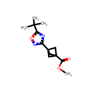 COC(=O)C12CC(c3noc(C(C)(C)C)n3)(C1)C2